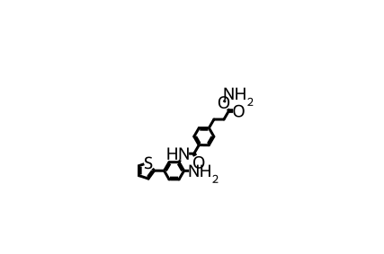 NOC(=O)CCc1ccc(C(=O)Nc2cc(-c3cccs3)ccc2N)cc1